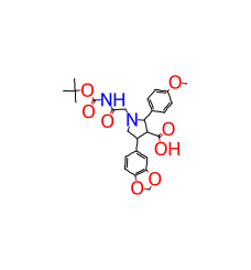 COc1ccc(C2C(C(=O)O)C(c3ccc4c(c3)OCO4)CN2CC(=O)NC(=O)OC(C)(C)C)cc1